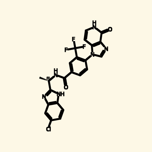 C[C@H](NC(=O)c1ccc(-n2cnc3c(=O)[nH]ccc32)c(C(F)(F)F)c1)c1nc2cc(Cl)ccc2[nH]1